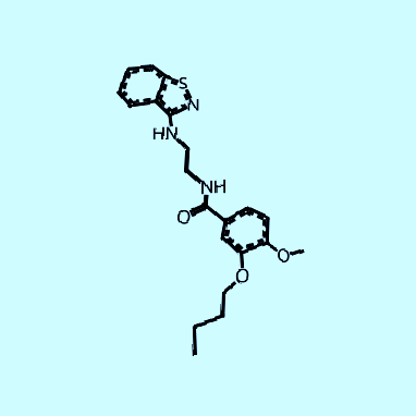 CCCCOc1cc(C(=O)NCCNc2nsc3ccccc23)ccc1OC